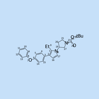 CCc1c(-c2ccc(Oc3ccccc3)cc2)ccn1C1CCN(C(=O)OC(C)(C)C)C1